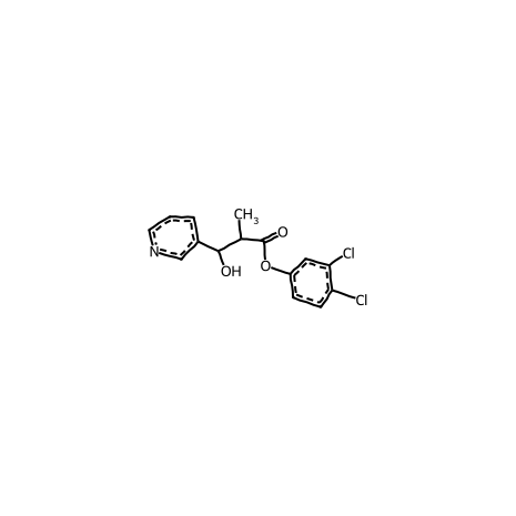 CC(C(=O)Oc1ccc(Cl)c(Cl)c1)C(O)c1cccnc1